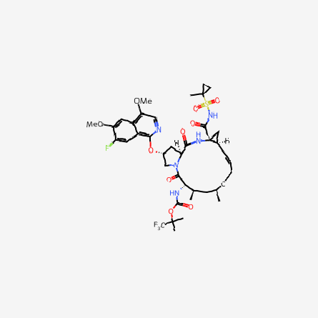 COc1cc2c(OC)cnc(O[C@@H]3C[C@H]4C(=O)N[C@]5(C(=O)NS(=O)(=O)C6(C)CC6)C[C@H]5C=CCC[C@@H](C)C[C@@H](C)[C@H](NC(=O)OC(C)(C)C(F)(F)F)C(=O)N4C3)c2cc1F